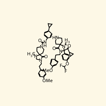 COc1ccc(CCN2C(=O)C3(CCNCC3)N(C)C2(C(=O)C2CC2)c2ccc(OC(F)F)cc2)cc1.COc1ccc(CCN2CN(C)C3(CCN(C(=O)Nc4ccc(C5CC5)cc4)CC3)C2=O)cc1